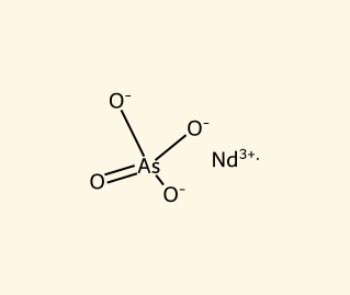 O=[As]([O-])([O-])[O-].[Nd+3]